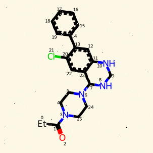 CCC(=O)N1CCN(C2NCNc3cc(-c4ccccc4)c(Cl)cc32)CC1